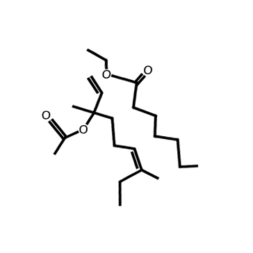 C=CC(C)(CCC=C(C)CC)OC(C)=O.CCCCCCC(=O)OCC